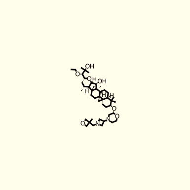 CCO[C@@H]([C@H]1C[C@@H](C)[C@H]2[C@H](O1)[C@H](O)[C@@]1(C)[C@@H]3CC[C@H]4C(C)(C)[C@@H](O[C@H]5CN(C6CN(CC7(C)COC7)C6)CCO5)CC[C@@]45C[C@@]35CC[C@]21C)C(C)(C)O